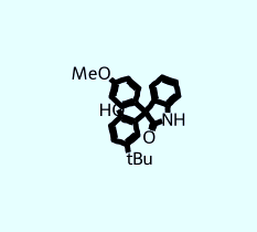 COc1ccc(C2(c3cc(C(C)(C)C)ccc3O)C(=O)Nc3ccccc32)cc1